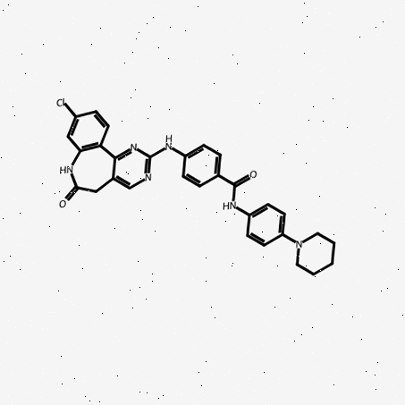 O=C1Cc2cnc(Nc3ccc(C(=O)Nc4ccc(N5CCCCC5)cc4)cc3)nc2-c2ccc(Cl)cc2N1